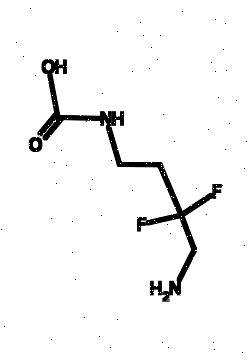 NCC(F)(F)CCNC(=O)O